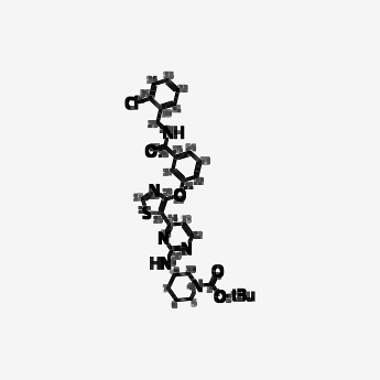 CC(C)(C)OC(=O)N1CCC[C@H](Nc2nccc(-c3scnc3Oc3cccc(C(=O)NCc4ccccc4Cl)c3)n2)C1